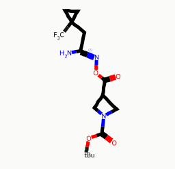 CC(C)(C)OC(=O)N1CC(C(=O)O/N=C(\N)CC2(C(F)(F)F)CC2)C1